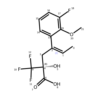 C/C=C(/C[C@@](O)(C(=O)O)C(F)(F)F)c1cccc(F)c1OC